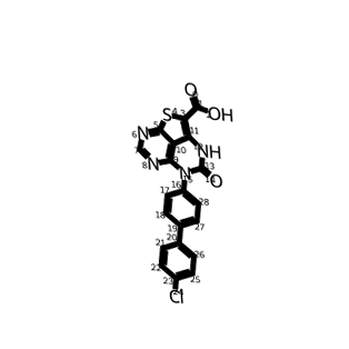 O=C(O)c1sc2ncnc3c2c1NC(=O)N3c1ccc(-c2ccc(Cl)cc2)cc1